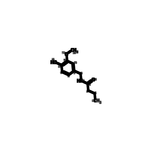 CCCC(=O)NCc1ccc(O)c(OC)c1